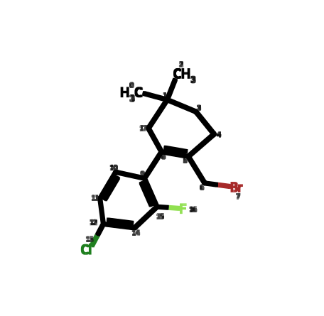 CC1(C)CCC(CBr)=C(c2ccc(Cl)cc2F)C1